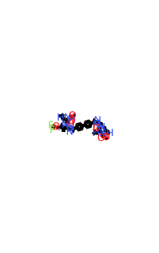 C=CCCN(Cc1ncc(-c2ccc(-c3ccc(-c4cnc([C@@H]5C(=C)[C@@H](COC(F)F)CN5C(=O)[C@H](C=C(C)C)NC(=O)OC)[nH]4)cc3)cc2)[nH]1)C(=O)[C@H](CC(C)C)NC(=O)OC